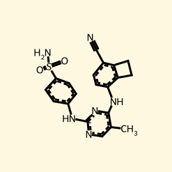 Cc1cnc(Nc2ccc(S(N)(=O)=O)cc2)nc1Nc1ccc(C#N)c2c1CC2